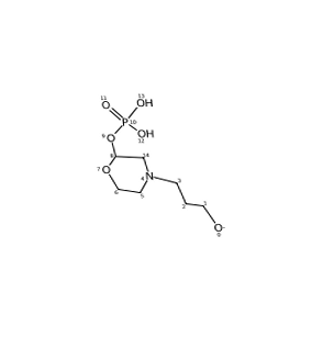 [O]CCCN1CCOC(OP(=O)(O)O)C1